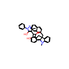 Cc1nn(-c2ccccc2)c(O)c1C1C(O)C(/C=C2/N(C)c3ccccc3C2(Cc2ccccc2)Cc2ccc3ccccc3c2)C1O